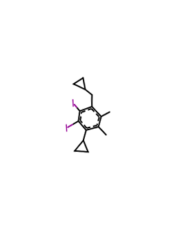 Cc1c(C)c(C2CC2)c(I)c(I)c1CC1CC1